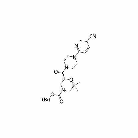 CC(C)(C)OC(=O)N1C[C@@H](C(=O)N2CCN(c3ccc(C#N)cn3)CC2)OC(C)(C)C1